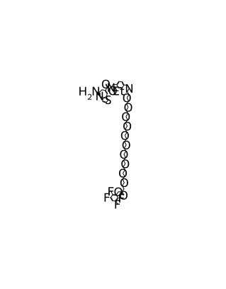 CCON(Cc1ccc(CN(C)CCOCCOCCOCCOCCOCCOCCOCCOCCOCCOCCC(=O)Oc2c(F)c(F)cc(F)c2F)cc1)C(=O)C1=Cc2sccc2N=C(N)C1